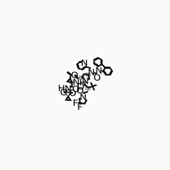 C=CC1C[C@]1(NC(=O)[C@@H]1C[C@@H](N(Cc2ccccn2)C(=O)n2c3ccccc3c3ccccc32)CN1C(=O)[C@@H](CC(=O)N1CCC(F)(F)C1)C(C)(C)C)C(=O)NS(=O)(=O)C1CC1